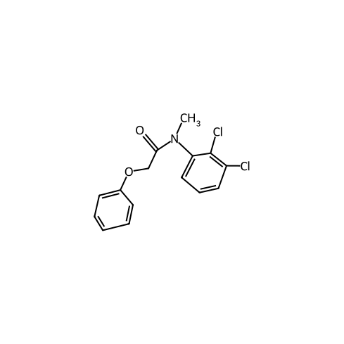 CN(C(=O)COc1ccccc1)c1cccc(Cl)c1Cl